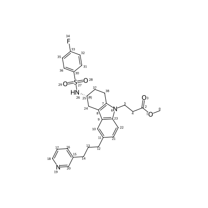 COC(=O)CCn1c2c(c3cc(CCCc4cccnc4)ccc31)C[C@H](NS(=O)(=O)c1ccc(F)cc1)CC2